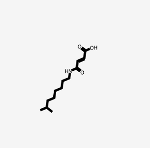 CC(C)CCCCCCNC(=O)C=CC(=O)O